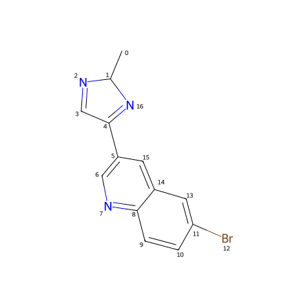 CC1N=CC(c2cnc3ccc(Br)cc3c2)=N1